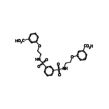 O=C(O)c1cccc(OCCNS(=O)(=O)c2cccc(S(=O)(=O)NCCOc3cccc(C(=O)O)c3)c2)c1